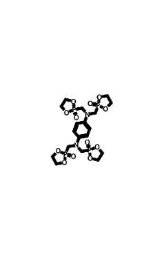 O=P1(CN(CP2(=O)OCCO2)c2ccc(N(CP3(=O)OCCO3)CP3(=O)OCCO3)cc2)OCCO1